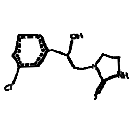 OC(CN1CCNC1=S)c1cccc(Cl)c1